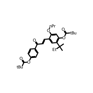 CCCOc1cc(OC(=O)C(C)(C)C)c(C(C)(C)CC)cc1C=CC(=O)c1ccc(OC(=O)C(C)(C)C)cc1